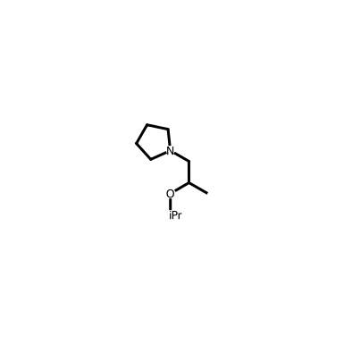 CC(C)OC(C)CN1CCCC1